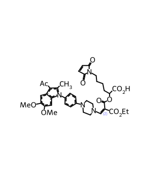 CCOC(=O)/C(=C/N1CCN(c2ccc(-n3c(C)c(C(C)=O)c4cc(OC)c(OC)cc43)cc2)CC1)C(=O)OC(CCCCN1C(=O)C=CC1=O)C(=O)O